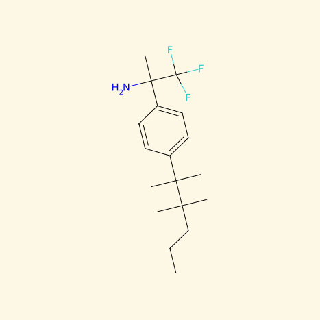 CCCC(C)(C)C(C)(C)c1ccc(C(C)(N)C(F)(F)F)cc1